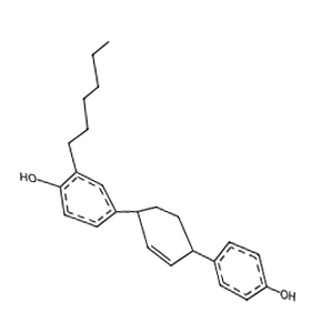 CCCCCCc1cc(C2C=CC(c3ccc(O)cc3)CC2)ccc1O